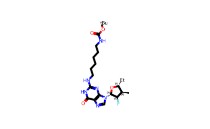 CC[C@H]1O[C@@H](n2cnc3c(=O)[nH]c(NCCCCCCNC(=O)OC(C)(C)C)nc32)[C@H](F)[C@@H]1C